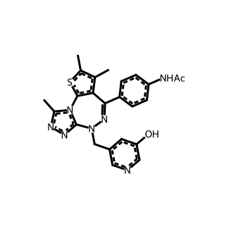 CC(=O)Nc1ccc(C2=NN(Cc3cncc(O)c3)c3nnc(C)n3-c3sc(C)c(C)c32)cc1